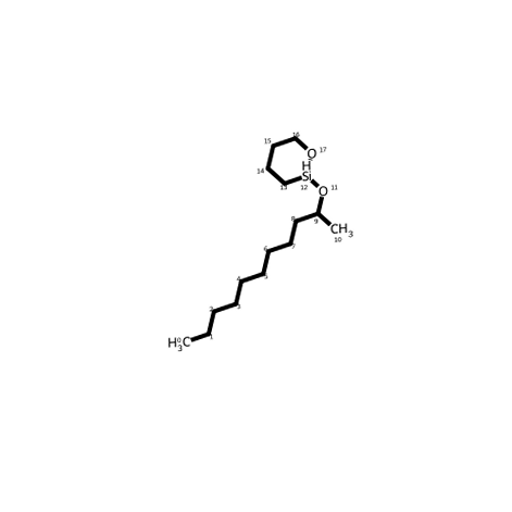 CCCCCCCCCC(C)O[SiH]1CCCCO1